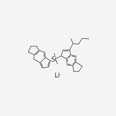 CCCC(C)C1=CC([Si](C)(C)C2=CC=C3CC4=C(C=C32)CCC4)c2cc3c(cc21)CCC3.[Li]